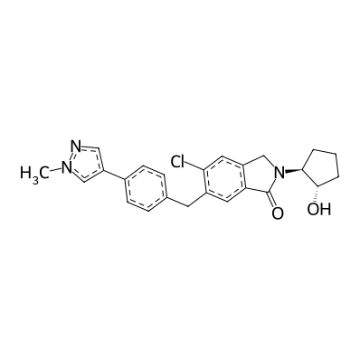 Cn1cc(-c2ccc(Cc3cc4c(cc3Cl)CN([C@H]3CCC[C@@H]3O)C4=O)cc2)cn1